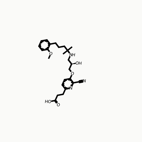 COc1ccccc1CCCC(C)(C)NC[C@@H](O)COc1ccc(CCC(=O)O)nc1C#N